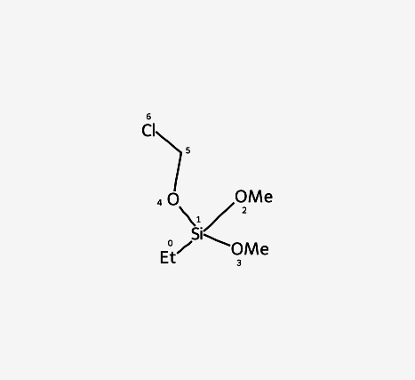 CC[Si](OC)(OC)OCCl